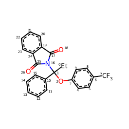 CCC(Oc1ccc(C(F)(F)F)cc1)(c1ccccc1)N1C(=O)c2ccccc2C1=O